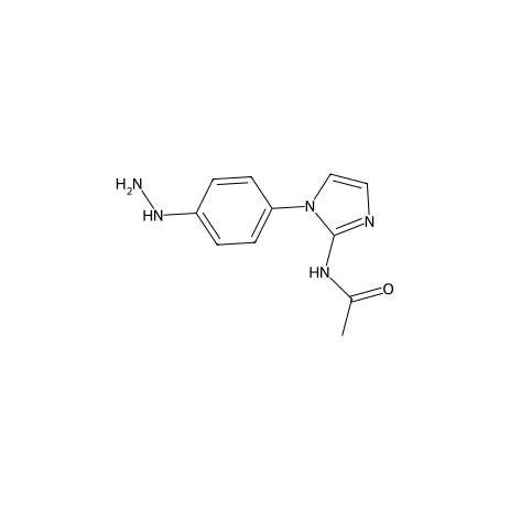 CC(=O)Nc1nccn1-c1ccc(NN)cc1